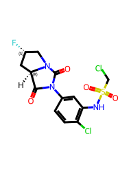 O=C1[C@H]2C[C@H](F)CN2C(=O)N1c1ccc(Cl)c(NS(=O)(=O)CCl)c1